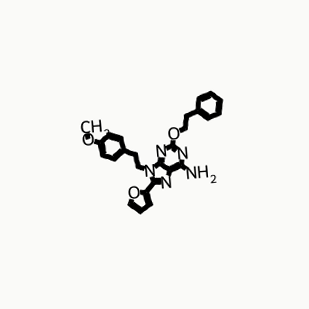 COc1ccc(CCn2c(-c3ccco3)nc3c(N)nc(OCCc4ccccc4)nc32)cc1